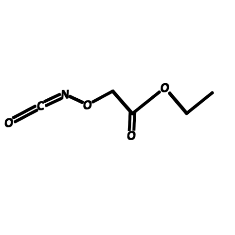 CCOC(=O)CON=C=O